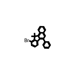 CC1(C)c2c(Br)cccc2-c2c(-c3ccccc3)cc3ccccc3c21